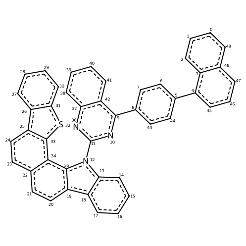 c1ccc2c(-c3ccc(-c4nc(-n5c6ccccc6c6ccc7ccc8c9ccccc9sc8c7c65)nc5ccccc45)cc3)cccc2c1